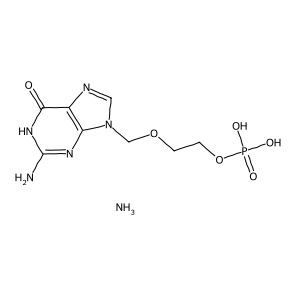 N.Nc1nc2c(ncn2COCCOP(=O)(O)O)c(=O)[nH]1